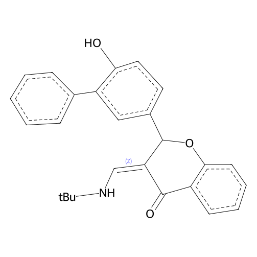 CC(C)(C)N/C=C1\C(=O)c2ccccc2OC1c1ccc(O)c(-c2ccccc2)c1